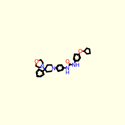 O=C(Nc1ccc(OC2CCCC2)cc1)Nc1ccc(N2CCC(c3ccccc3)(N3CCOCC3)CC2)cc1